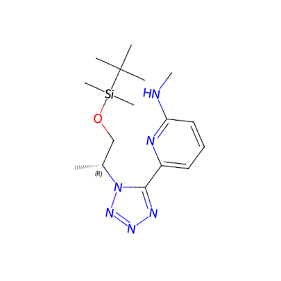 CNc1cccc(-c2nnnn2[C@H](C)CO[Si](C)(C)C(C)(C)C)n1